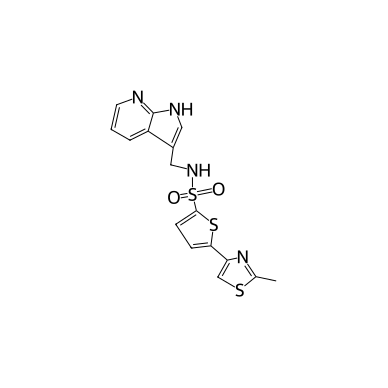 Cc1nc(-c2ccc(S(=O)(=O)NCc3c[nH]c4ncccc34)s2)cs1